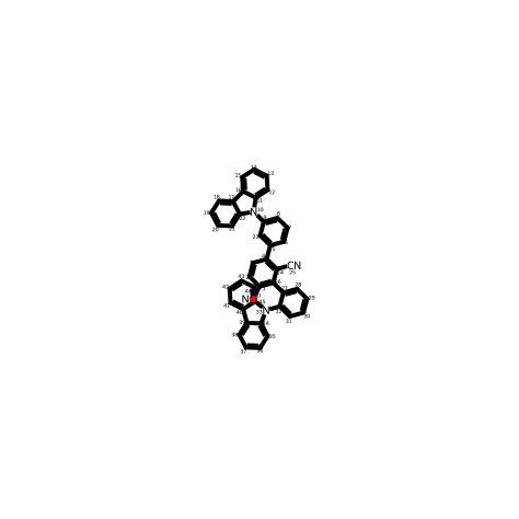 N#Cc1ccc(-c2cccc(-n3c4ccccc4c4ccccc43)c2)c(C#N)c1-c1ccccc1-n1c2ccccc2c2ccccc21